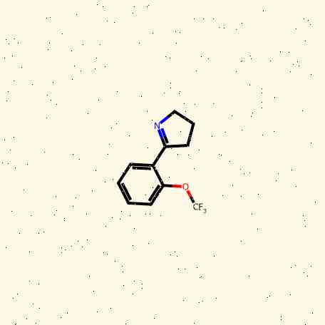 FC(F)(F)Oc1ccccc1C1=NCCC1